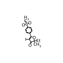 CCC1(C)OC(c2ccc(S(C)(=O)=O)cc2)=C(I)C1=O